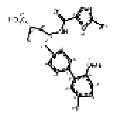 CCc1ncc(C(=O)N[C@H](Cc2ccc(-c3cc(F)ccc3OC)cc2)C[C@H](C)C(=O)O)o1